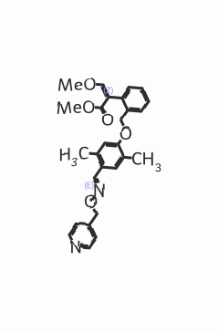 CO/C=C(\C(=O)OC)c1ccccc1COc1cc(C)c(/C=N/OCc2ccncc2)cc1C